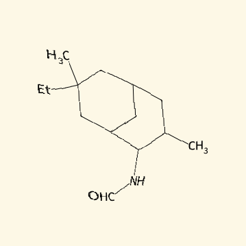 CCC1(C)CC2CC(C)C(NC=O)C(C2)C1